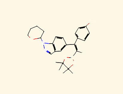 CCC(B1OC(C)(C)C(C)(C)O1)=C(c1ccc(O)cc1)c1ccc2c(cnn2C2CCCCO2)c1